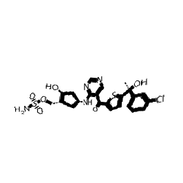 C[C@](O)(c1cccc(Cl)c1)c1ccc(C(=O)c2cncnc2N[C@@H]2C[C@H](COS(N)(=O)=O)[C@@H](O)C2)s1